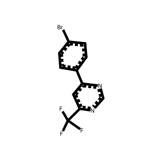 FC(F)(F)c1cc(-c2ccc(Br)cc2)ncn1